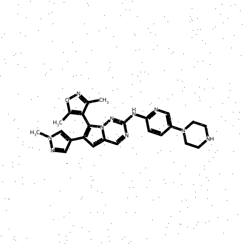 Cc1noc(C)c1-c1c(-c2cnn(C)c2)cc2cnc(Nc3ccc(N4CCNCC4)cn3)nn12